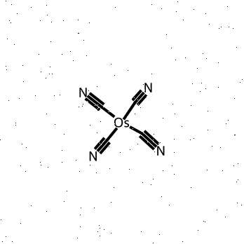 N#[C][Os]([C]#N)([C]#N)[C]#N